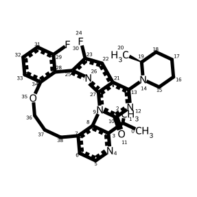 CC(C)c1nccc2c1-n1c(=O)nc(N3CCCC[C@@H]3C)c3cc(F)c(nc31)-c1c(F)cccc1OCCC2